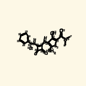 Bc1sc(C(=O)N(C)C)c(O)c1Nc1c(N[C@H](CC)c2ccccc2)c(=O)c1=O